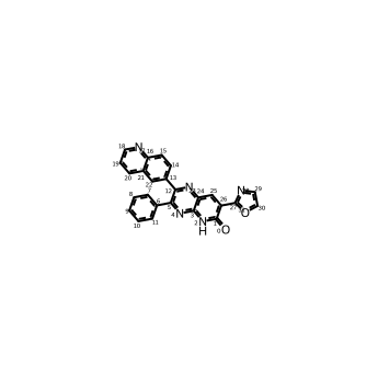 O=c1[nH]c2nc(-c3ccccc3)c(-c3ccc4ncccc4c3)nc2cc1-c1ncco1